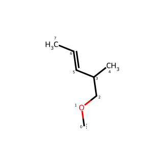 [C]OCC(C)C=CC